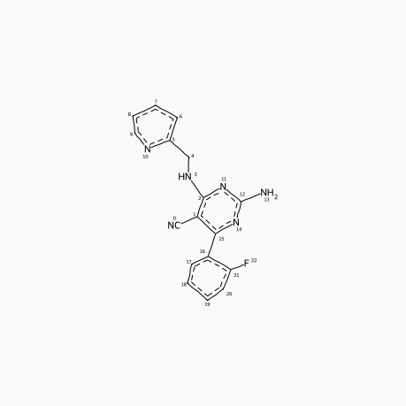 N#Cc1c(NCc2ccccn2)nc(N)nc1-c1ccccc1F